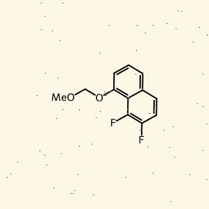 COCOc1cccc2ccc(F)c(F)c12